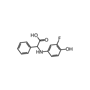 O=C(O)C(Nc1ccc(O)c(F)c1)c1ccccc1